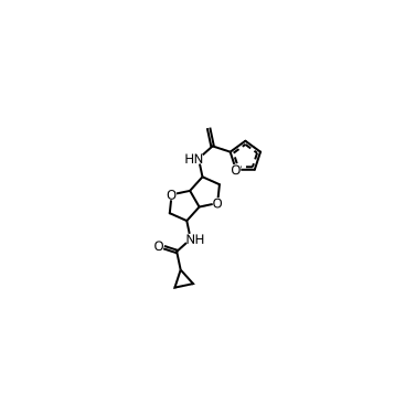 C=C(NC1COC2C(NC(=O)C3CC3)COC12)c1ccco1